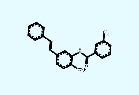 O=C(Nc1cc(C=Cc2ccccc2)ccc1C(=O)O)c1cccc(C(F)(F)F)c1